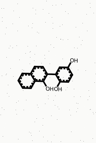 Oc1ccc(O)c(-c2ccc3ccccc3c2O)c1